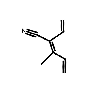 C=C/C(C)=C(/C#N)C=C